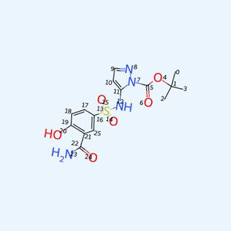 CC(C)(C)OC(=O)n1nccc1NS(=O)(=O)c1ccc(O)c(C(N)=O)c1